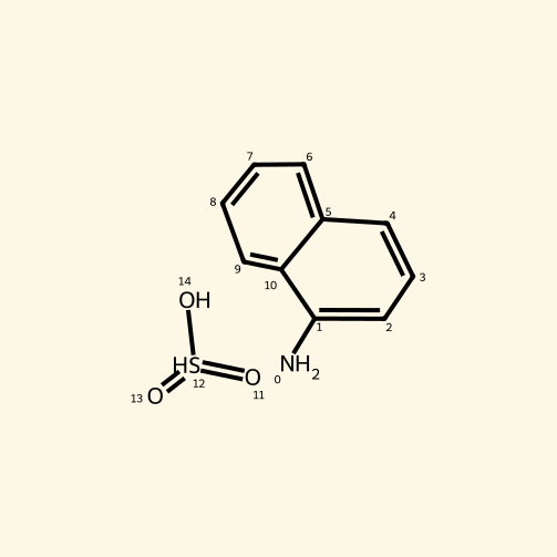 Nc1cccc2ccccc12.O=[SH](=O)O